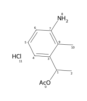 CC(=O)OC(C)c1cccc(N)c1C.Cl